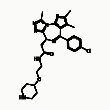 Cc1sc2c(c1C)C(c1ccc(Cl)cc1)=N[C@@H](CC(=O)NCCOC1CCNCC1)c1nnc(C)n1-2